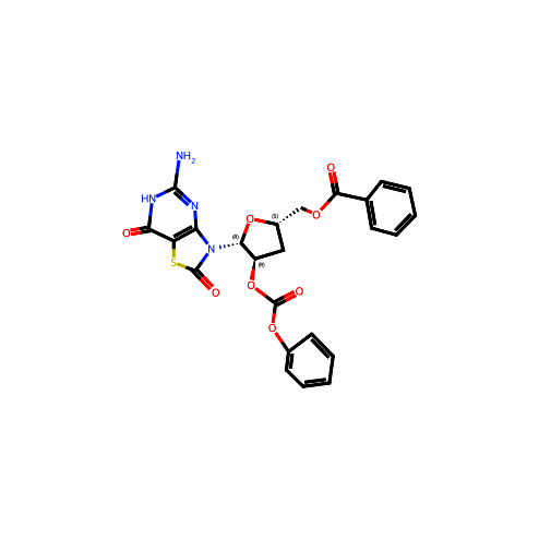 Nc1nc2c(sc(=O)n2[C@@H]2O[C@H](COC(=O)c3ccccc3)C[C@H]2OC(=O)Oc2ccccc2)c(=O)[nH]1